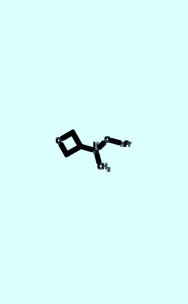 CCCO[SiH](C)C1COC1